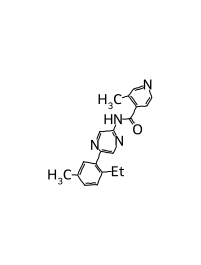 CCc1ccc(C)cc1-c1cnc(NC(=O)c2ccncc2C)cn1